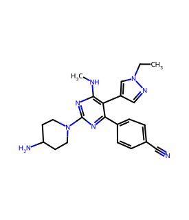 CCn1cc(-c2c(NC)nc(N3CCC(N)CC3)nc2-c2ccc(C#N)cc2)cn1